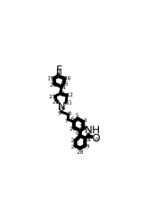 O=c1[nH]c2ccc(CCCN3CC=C(c4ccc(F)cc4)CC3)cc2c2ccccc12